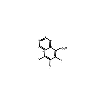 Cc1c(S)c(S)c(C(=O)O)c2ccccc12